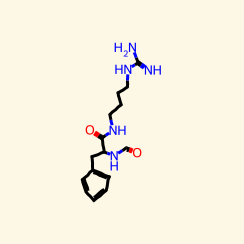 N=C(N)NCCCCNC(=O)C(Cc1ccccc1)NC=O